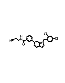 N#CCCNC(=O)c1cccc(-c2ccc3ccn(Cc4ccc(Cl)cc4Cl)c3c2)c1